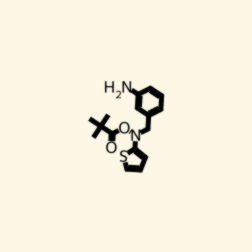 CC(C)(C)C(=O)ON(Cc1cccc(N)c1)c1cccs1